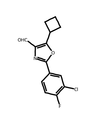 O=Cc1nc(-c2ccc(F)c(Cl)c2)oc1C1CCC1